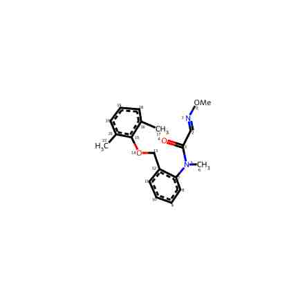 CON=CC(=O)N(C)c1ccccc1COc1c(C)cccc1C